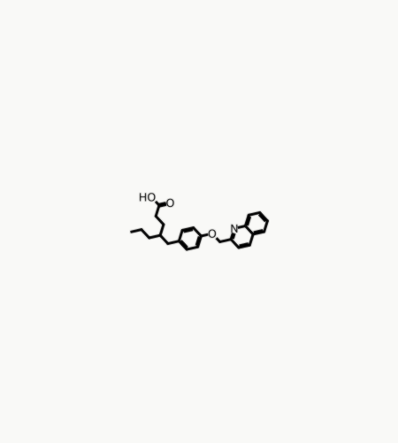 CCCC(CCC(=O)O)Cc1ccc(OCc2ccc3ccccc3n2)cc1